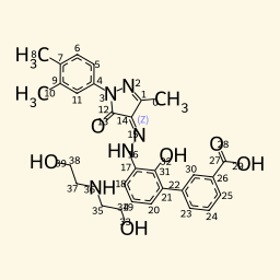 CC1=NN(c2ccc(C)c(C)c2)C(=O)/C1=N\Nc1cccc(-c2cccc(C(=O)O)c2)c1O.OCCNCCO